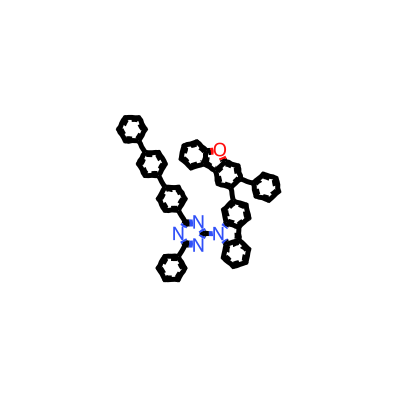 c1ccc(-c2ccc(-c3ccc(-c4nc(-c5ccccc5)nc(-n5c6ccccc6c6ccc(-c7cc8c(cc7-c7ccccc7)oc7ccccc78)cc65)n4)cc3)cc2)cc1